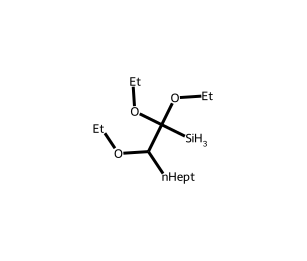 CCCCCCCC(OCC)C([SiH3])(OCC)OCC